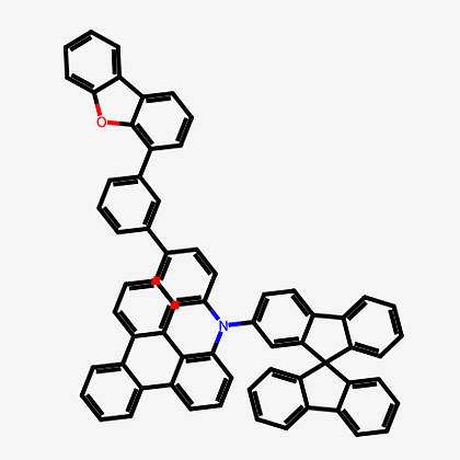 c1cc(-c2ccc(N(c3ccc4c(c3)C3(c5ccccc5-c5ccccc53)c3ccccc3-4)c3cccc4c5ccccc5c5ccccc5c34)cc2)cc(-c2cccc3c2oc2ccccc23)c1